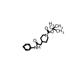 CC(C)(C)OC(=O)N1CCC(CC(=O)Nc2ccccc2)CC1